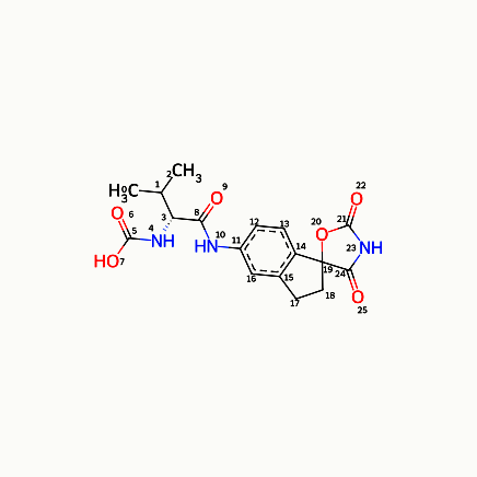 CC(C)[C@@H](NC(=O)O)C(=O)Nc1ccc2c(c1)CCC21OC(=O)NC1=O